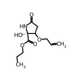 C=CCOC1CC(=O)N[C@]1(O)C(=O)OCCC